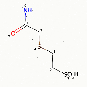 [NH]C(=O)CSCCS(=O)(=O)O